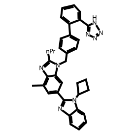 CCCc1nc2c(C)cc(-c3nc4ccccc4n3C3CCC3)cc2n1Cc1ccc(-c2ccccc2-c2nnn[nH]2)cc1